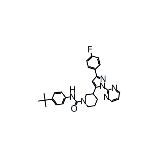 CC(C)(C)c1ccc(NC(=O)N2CCCC(c3cc(-c4ccc(F)cc4)nn3-c3ncccn3)C2)cc1